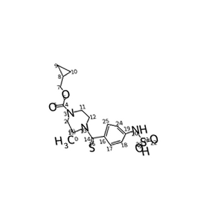 C[C@@H]1CN(C(=O)OCC2CC2)CCN1C(=S)c1ccc(N[SH](=O)=O)cc1